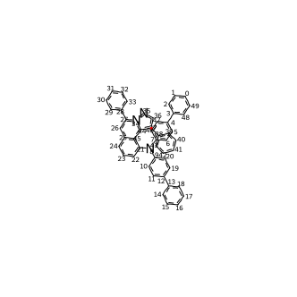 c1ccc(-c2ccc(N(c3ccc(-c4ccccc4)cc3)c3cccc4cc(-c5ccccc5)n5ncc(-c6ccccc6)c5c34)cc2)cc1